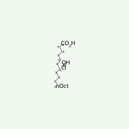 CCCCCCCCCCCCCCCCCC(=O)O.OCl